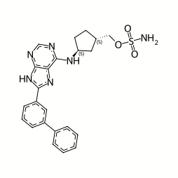 NS(=O)(=O)OC[C@H]1CC[C@H](Nc2ncnc3[nH]c(-c4cccc(-c5ccccc5)c4)nc23)C1